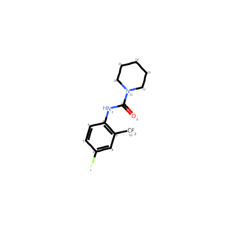 O=C(Nc1ccc(F)cc1C(F)(F)F)N1CCCCC1